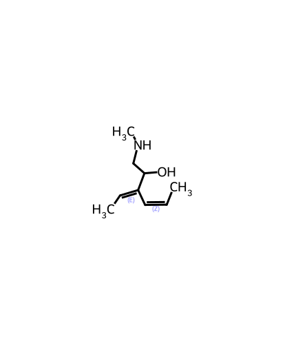 C/C=C\C(=C/C)C(O)CNC